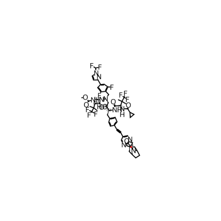 COC(=O)N[C@H](C(=O)NN(Cc1c(F)cc(-c2ccn(C(F)F)n2)cc1F)C[C@H](O)[C@H](Cc1ccc(C#Cc2cnc(N3CC4CCC(C3)N4C3COC3)nc2)cc1)NC(=O)[C@@H](NC(=O)C1CC1)C(C)(C)C(F)(F)F)C(C)(C)C(F)(F)F